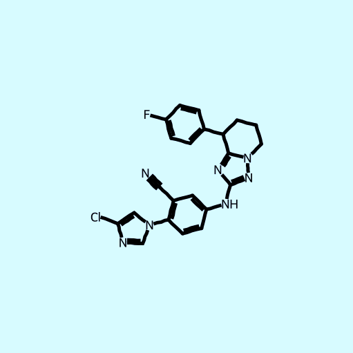 N#Cc1cc(Nc2nc3n(n2)CCCC3c2ccc(F)cc2)ccc1-n1cnc(Cl)c1